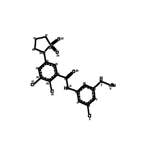 CCCCNc1cc(Cl)cc(NC(=O)c2cc(N3CCCS3(=O)=O)cc(Cl)c2Cl)c1